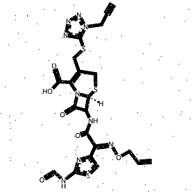 C#CCn1nnnc1SCC1=C(C(=O)O)N2C(=O)C(NC(=O)C(=NOCC=C)c3csc(NC=O)n3)[C@@H]2SC1